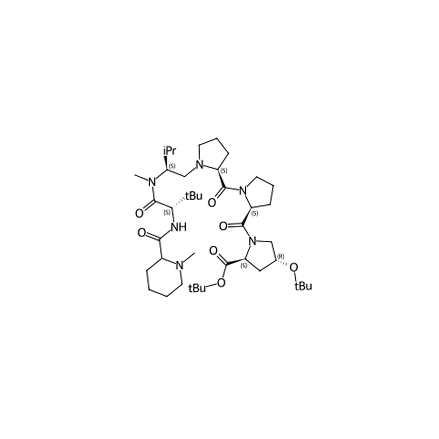 CC(C)[C@@H](CN1CCC[C@H]1C(=O)N1CCC[C@H]1C(=O)N1C[C@H](OC(C)(C)C)C[C@H]1C(=O)OC(C)(C)C)N(C)C(=O)[C@@H](NC(=O)C1CCCCN1C)C(C)(C)C